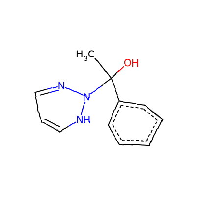 CC(O)(c1ccccc1)N1N=CC=CN1